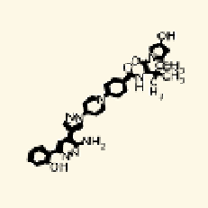 C[C@@H]1C[C@@H](O)CN1C(=O)[C@@H](NC(=O)C1CCC(N2CCC(n3cc(-c4cc(-c5ccccc5O)nnc4N)cn3)CC2)CC1)C(C)(C)C